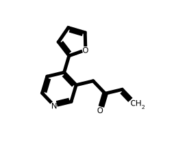 C=CC(=O)Cc1cnccc1-c1ccco1